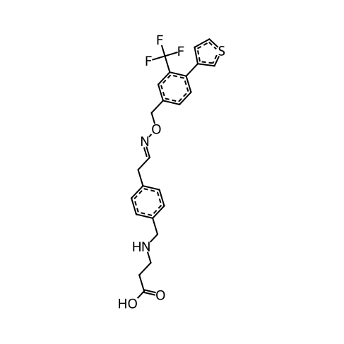 O=C(O)CCNCc1ccc(CC=NOCc2ccc(-c3ccsc3)c(C(F)(F)F)c2)cc1